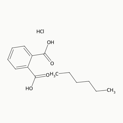 CCCCCC.Cl.O=C(O)c1ccccc1C(=O)O